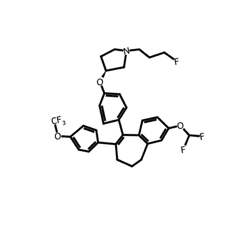 FCCCN1CC[C@H](Oc2ccc(C3=C(c4ccc(OC(F)(F)F)cc4)CCCc4cc(OC(F)F)ccc43)cc2)C1